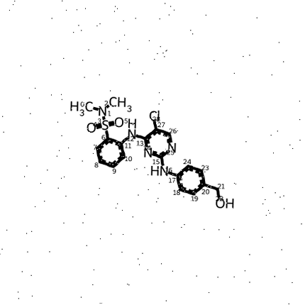 CN(C)S(=O)(=O)c1ccccc1Nc1nc(Nc2ccc(CO)cc2)ncc1Cl